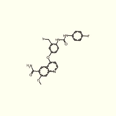 COc1cc2nccc(Oc3ccc(NC(=O)Nc4ccc(F)cc4)c(CI)c3)c2cc1C(N)=O